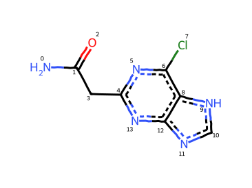 NC(=O)Cc1nc(Cl)c2[nH]cnc2n1